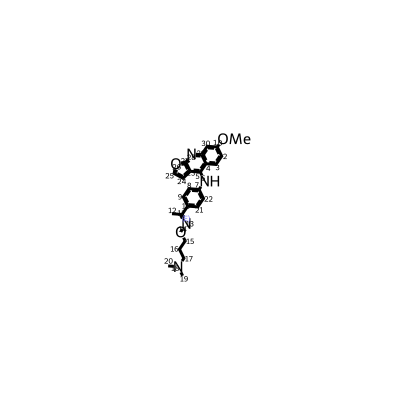 COc1ccc2c(Nc3ccc(/C(C)=N/OCCCN(C)C)cc3)c3ccoc3nc2c1